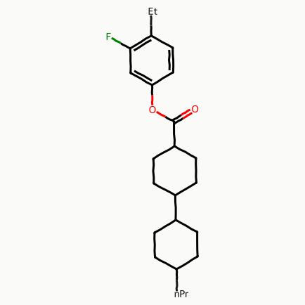 CCCC1CCC(C2CCC(C(=O)Oc3ccc(CC)c(F)c3)CC2)CC1